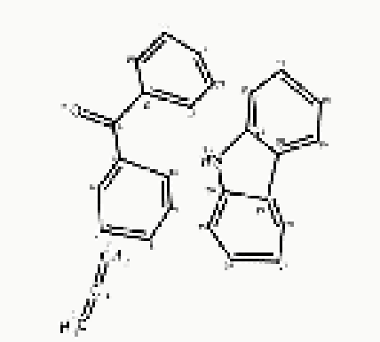 C=C=C.O=C(c1ccccc1)c1ccccc1.c1ccc2c(c1)[nH]c1ccccc12